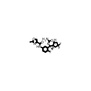 Cc1nc(C(=O)Nc2ccc(F)c([C@@]3(CF)N=C(N)O[C@@H]4CC(F)(F)C[C@@H]43)c2)co1